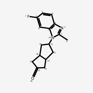 Cc1nc2ccc(F)cc2n1C1CC2CC(=O)CC2C1